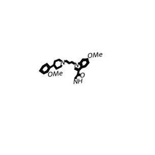 COc1ccc2c(C(=O)C=N)cn(CCCN3CCC(c4ccccc4OC)CC3)c2c1